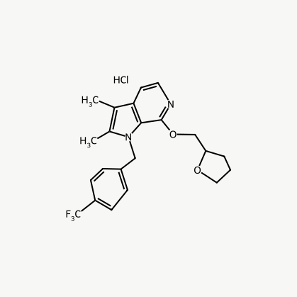 Cc1c(C)n(Cc2ccc(C(F)(F)F)cc2)c2c(OCC3CCCO3)nccc12.Cl